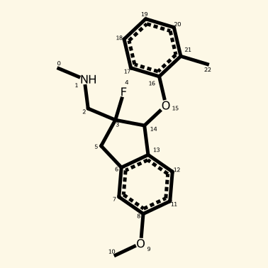 CNCC1(F)Cc2cc(OC)ccc2C1Oc1ccccc1C